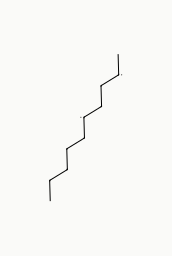 C[CH]CC[CH]CCCCC